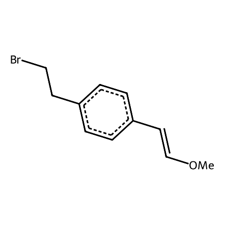 COC=Cc1ccc(CCBr)cc1